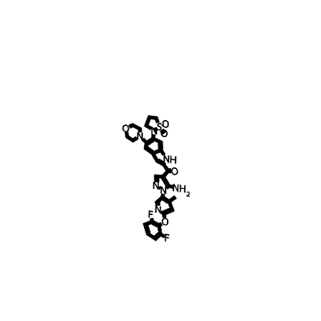 Cc1cc(Oc2c(F)cccc2F)ncc1-n1ncc(C(=O)c2cc3cc(N4CCOCC4)c(N4CCCS4(=O)=O)cc3[nH]2)c1N